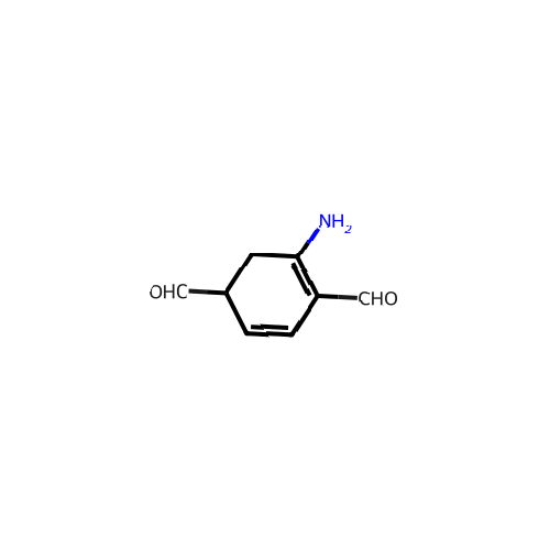 NC1=C(C=O)C=CC(C=O)C1